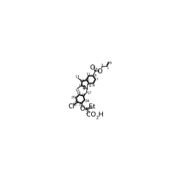 C=CCOC(=O)c1ccc2c(c1)c(C)c(C)n2Cc1ccc(Cl)c(O[C@H](CC)C(=O)O)c1